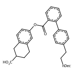 CCCCCCCCCCCCc1ccc(-c2ccccc2C(=O)Oc2ccc3c(c2)CCC(C(=O)O)C3)cc1